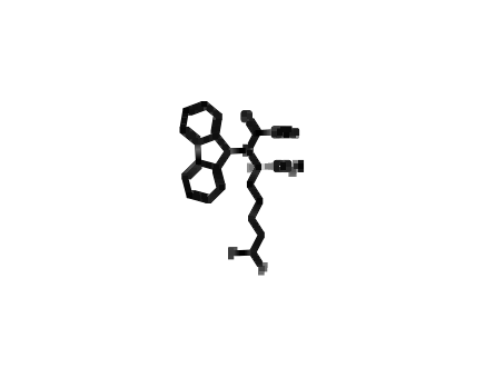 COC(=O)N(C1c2ccccc2-c2ccccc21)[C@@H](CCCCC(F)F)C(=O)O